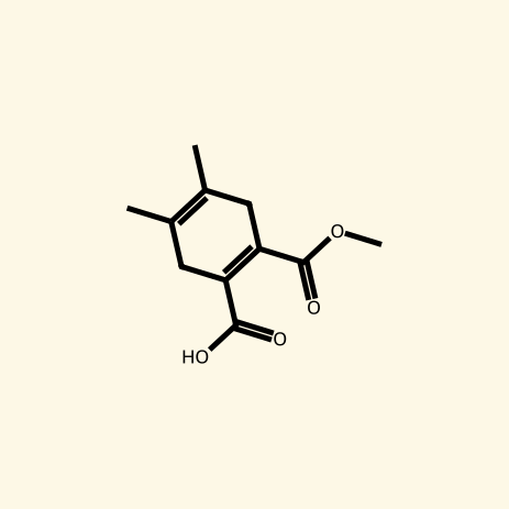 COC(=O)C1=C(C(=O)O)CC(C)=C(C)C1